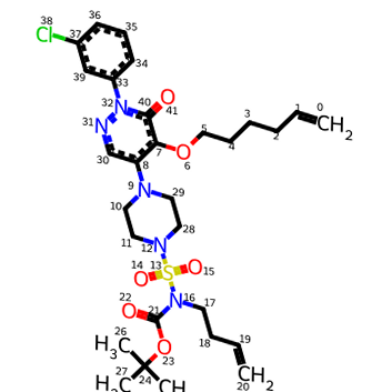 C=CCCCCOc1c(N2CCN(S(=O)(=O)N(CCC=C)C(=O)OC(C)(C)C)CC2)cnn(-c2cccc(Cl)c2)c1=O